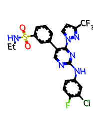 CCNS(=O)(=O)c1cccc(-c2cnc(Nc3ccc(F)c(Cl)c3)nc2-n2ccc(C(F)(F)F)n2)c1